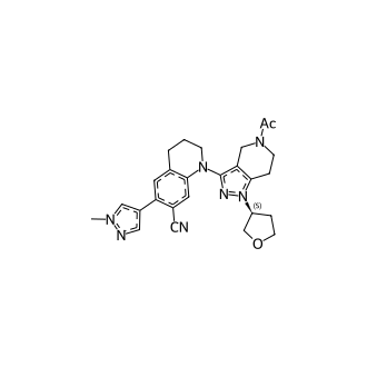 CC(=O)N1CCc2c(c(N3CCCc4cc(-c5cnn(C)c5)c(C#N)cc43)nn2[C@H]2CCOC2)C1